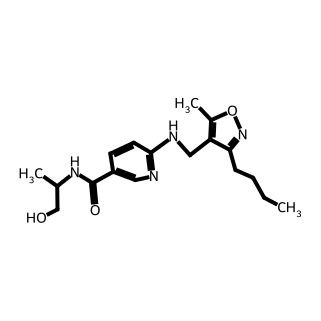 CCCCc1noc(C)c1CNc1ccc(C(=O)NC(C)CO)cn1